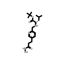 CC(C)C[C@H](NCc1ccc(CCC(=O)NO)cn1)C(=O)OC(C)(C)C